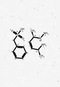 C[C@H](N)/C=C\[C@@H](C)NN.O=S(=O)(O)Cc1ccccc1